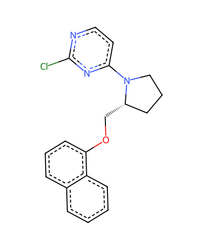 Clc1nccc(N2CCC[C@@H]2COc2cccc3ccccc23)n1